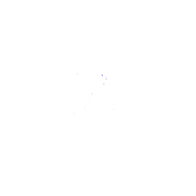 CCCc1[c]ccnc1C(C)=O